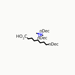 CCCCCCCCCCCCCCCCCC(=O)O.CCCCCCCCCC[N+](C)(C)CCCCCCCCCC